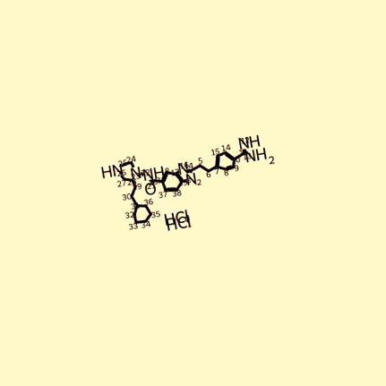 Cl.Cl.Cn1c(CCc2ccc(C(=N)N)cc2)nc2cc(C(=O)NN3CCNCC3CCC3CCCCC3)ccc21